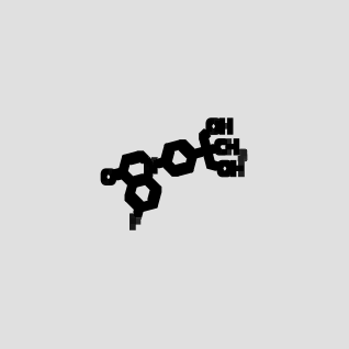 CC(CO)(CO)c1ccc(-n2ccc(=O)c3cc(F)ccc32)cc1